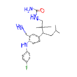 CC(C)CC(c1ccc(Nc2ccc(F)cc2)c(C=N)c1)C(C)(C)CNC(N)=O